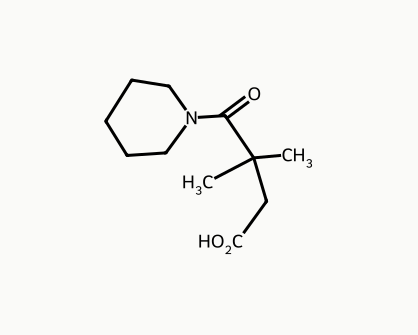 CC(C)(CC(=O)O)C(=O)N1CCCCC1